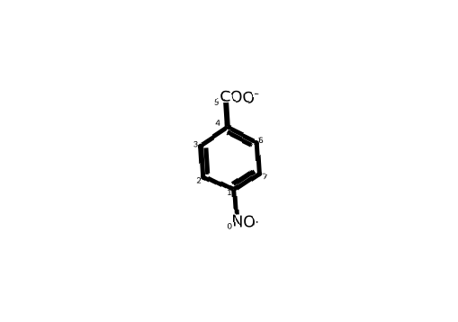 O=[N+]c1ccc(C(=O)[O-])cc1